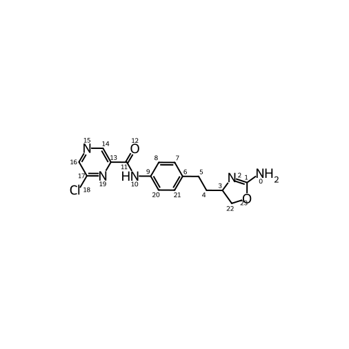 NC1=NC(CCc2ccc(NC(=O)c3cncc(Cl)n3)cc2)CO1